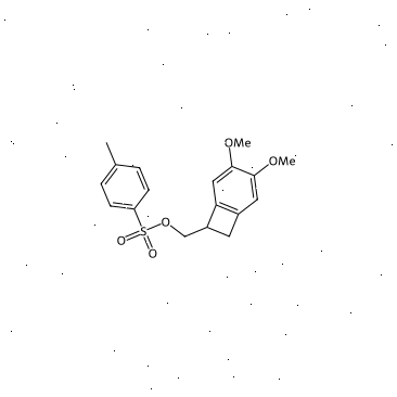 COc1cc2c(cc1OC)C(COS(=O)(=O)c1ccc(C)cc1)C2